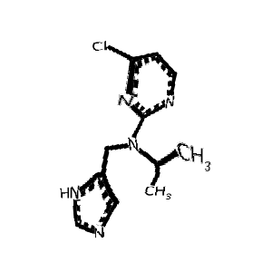 CC(C)N(Cc1cnc[nH]1)c1nccc(Cl)n1